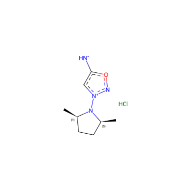 C[C@@H]1CC[C@H](C)N1[n+]1cc([NH-])on1.Cl